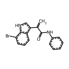 C=C(C(=O)Nc1ccccc1)c1c[nH]c2c(Br)cccc12